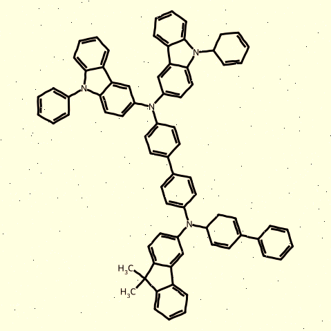 CC1(C)c2ccccc2-c2cc(N(c3ccc(-c4ccc(N(c5ccc6c(c5)c5ccccc5n6-c5ccccc5)c5ccc6c(c5)c5ccccc5n6C5C=CC=CC5)cc4)cc3)C3C=CC(c4ccccc4)=CC3)ccc21